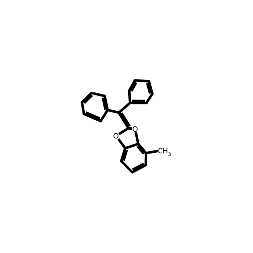 Cc1cccc2c1OC(=C(c1ccccc1)c1ccccc1)O2